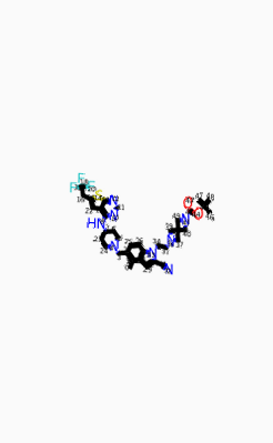 Cc1c(CN2CCC(Nc3ncnc4sc(CC(F)(F)F)cc34)CC2)ccc2c1cc(C#N)n2CCN1CC2(C1)CN(C(=O)OC(C)(C)C)C2